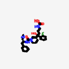 CNC[C@H](CC1CCCCC1)NC(=O)N1CCC[C@@H]([C@@](O)(CCCNC(=O)O)c2ccccc2F)C1